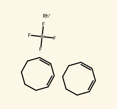 C1=CCCCCC=C1.C1=CCCCCC=C1.F[B-](F)(F)F.[Rh+]